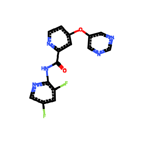 O=C(Nc1ncc(F)cc1F)c1cc(Oc2cncnc2)ccn1